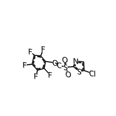 O=S(=O)(COc1c(F)c(F)c(F)c(F)c1F)c1ncc(Cl)s1